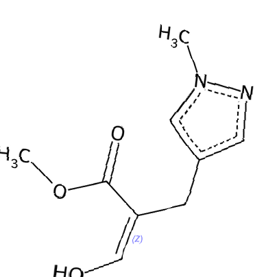 COC(=O)/C(=C\O)Cc1cnn(C)c1